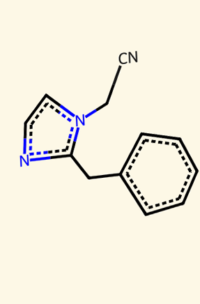 N#CCn1ccnc1Cc1ccccc1